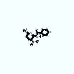 CC(Nc1cc(Br)ccc1[N+](=O)[O-])c1ccccc1